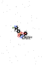 CCCCCc1nc(=O)c(S(=O)(=O)c2ccc(-c3ccnc(F)c3C)cc2)c(O)n1[C@@H](COC)c1ccccc1